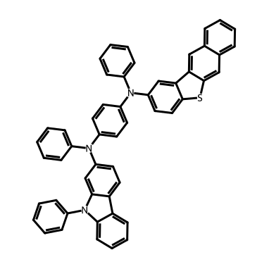 c1ccc(N(c2ccc(N(c3ccccc3)c3ccc4c5ccccc5n(-c5ccccc5)c4c3)cc2)c2ccc3sc4cc5ccccc5cc4c3c2)cc1